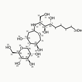 CCCCCCCCCCCCCC[C@@H](O)[C@@H](O)[C@H](CO)NC1C[C@@H](O)C([C@H]2O[C@H](CO)[C@@H](O)[C@H](O)[C@H]2O)[C@H](O)CO1